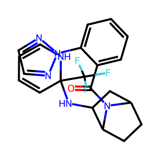 O=C(c1ccccc1-n1nccn1)N1C2CCC1C(NC1(C(F)(F)F)C=CC=CN1)C2